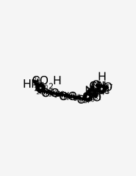 Cc1nc2cc(OCCOCCOCCOCCOc3ccc(NC(=O)O)cc3)ccc2c(=O)n1C1CCC(=O)NC1=O